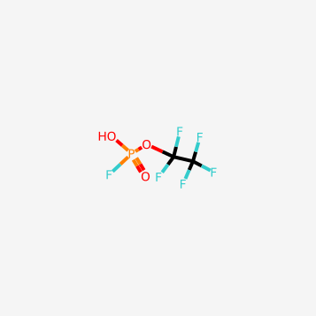 O=P(O)(F)OC(F)(F)C(F)(F)F